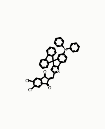 O=C1C(=Cc2cc3c(s2)-c2ccc(N(c4ccccc4)c4ccccc4)cc2C32c3ccccc3-c3ccccc32)C(=O)c2cc(Cl)c(Cl)cc21